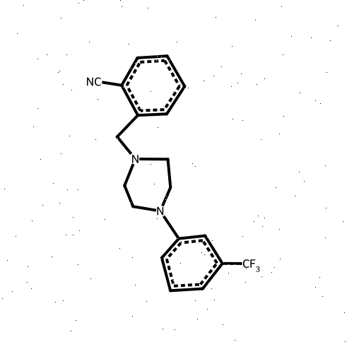 N#Cc1ccccc1CN1CCN(c2cccc(C(F)(F)F)c2)CC1